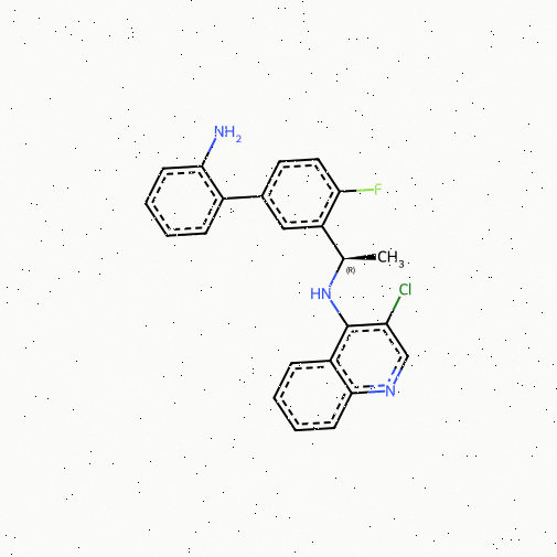 C[C@@H](Nc1c(Cl)cnc2ccccc12)c1cc(-c2ccccc2N)ccc1F